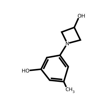 Cc1cc(O)cc(N2CC(O)C2)c1